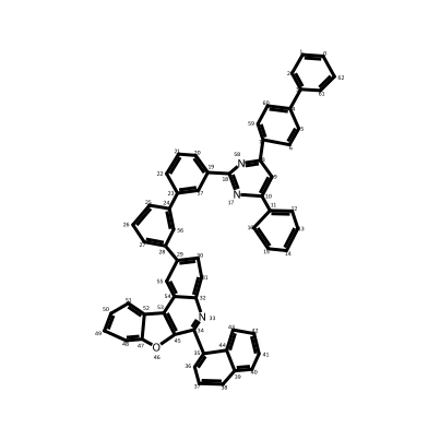 c1ccc(-c2ccc(-c3cc(-c4ccccc4)nc(-c4cccc(-c5cccc(-c6ccc7nc(-c8cccc9ccccc89)c8oc9ccccc9c8c7c6)c5)c4)n3)cc2)cc1